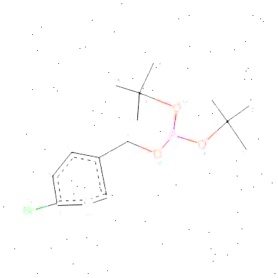 CC(C)(C)OP(OCc1ccc(Br)cc1)OC(C)(C)C